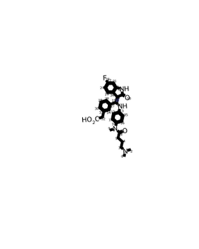 CN(C)CCCC(=O)N(C)c1ccc(N/C(=C2\C(=O)Nc3cc(F)ccc32)c2cccc(CC(=O)O)c2)cc1